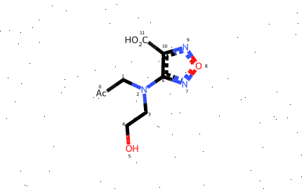 CC(=O)CN(CCO)c1nonc1C(=O)O